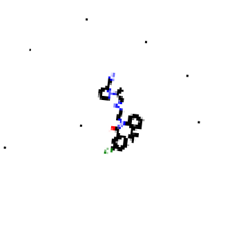 C=C(CNCCN1C(=O)c2cc(Cl)ccc2C(C)(C)c2ccccc21)N1CCCC1C#N